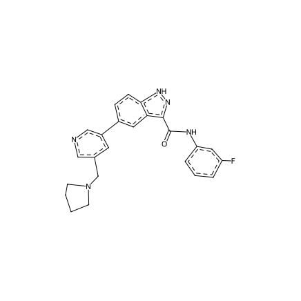 O=C(Nc1cccc(F)c1)c1n[nH]c2ccc(-c3cncc(CN4CCCC4)c3)cc12